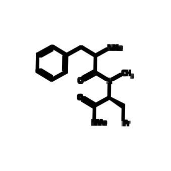 CNC(=O)[C@H](CC(C)C)N(C)C(=O)C(Cc1ccccc1)NC